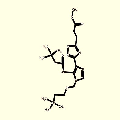 COC(=O)CCc1nc(-c2ncn(COCC[Si](C)(C)C)c2NC(=O)OC(C)(C)C)no1